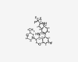 CC1CN(C2COc3cc(F)ccc3C2Nc2nccc3[nH]c(C(F)(F)F)cc23)CCO1